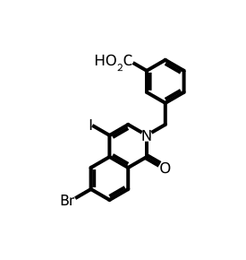 O=C(O)c1cccc(Cn2cc(I)c3cc(Br)ccc3c2=O)c1